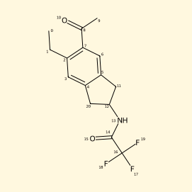 CCc1cc2c(cc1C(C)=O)CC(NC(=O)C(F)(F)F)C2